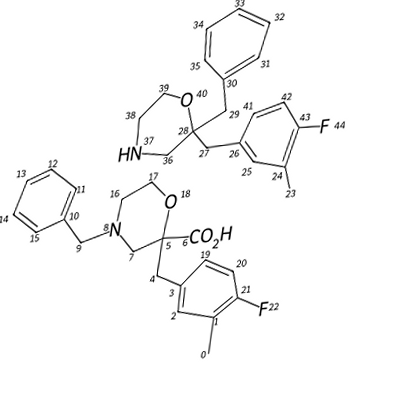 Cc1cc(CC2(C(=O)O)CN(Cc3ccccc3)CCO2)ccc1F.Cc1cc(CC2(Cc3ccccc3)CNCCO2)ccc1F